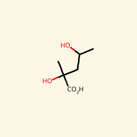 CC(O)CC(C)(O)C(=O)O